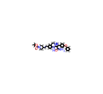 CC(C)(C)OC(=O)N1CCC(/C=C/c2ccc3c(c2)CCn2nc(-c4ccc(Oc5ccccc5)cc4)c(C(N)=O)c2N3)CC1